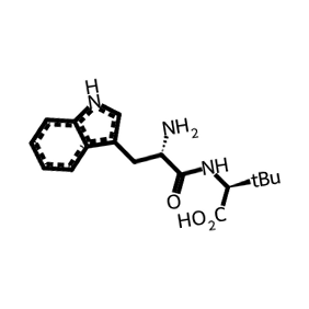 CC(C)(C)[C@H](NC(=O)[C@@H](N)Cc1c[nH]c2ccccc12)C(=O)O